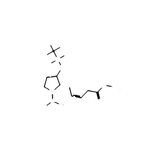 COC(=O)C/C=C\C[C@H]1C(O[Si](C)(C)C(C)(C)C)CCN1B(C)O